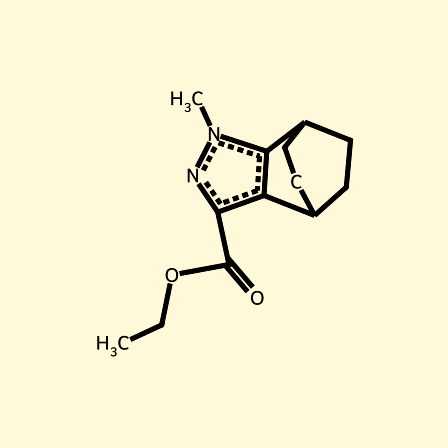 CCOC(=O)c1nn(C)c2c1C1CCC2CC1